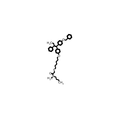 CCCCN(C)C(=O)CSCCCCCCOc1ccc(/C(=C(/CC)c2ccccc2)c2ccc(OCc3ccccc3)cc2)cc1